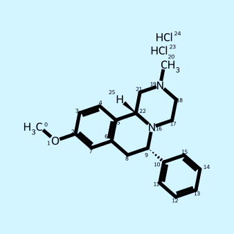 COc1ccc2c(c1)C[C@@H](c1ccccc1)N1CCN(C)C[C@@H]21.Cl.Cl